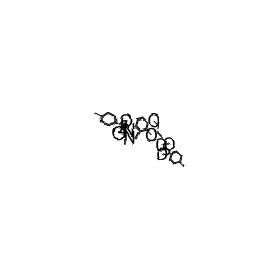 Cc1ccc(S(=O)(=O)OCC2COc3ccc4c(cnn4S(=O)(=O)c4ccc(C)cc4)c3O2)cc1